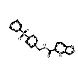 O=C(NCc1ccc(S(=O)(=O)c2ccccc2)cc1)c1ccc2nncc-2[nH]1